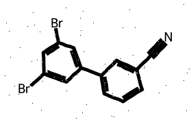 N#Cc1cccc(-c2cc(Br)cc(Br)c2)c1